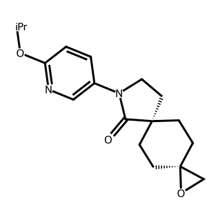 CC(C)Oc1ccc(N2CC[C@]3(CC[C@]4(CC3)CO4)C2=O)cn1